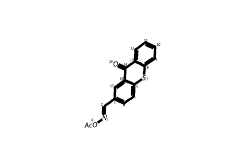 CC(=O)O/N=C/c1ccc2sc3ccccc3c(=O)c2c1